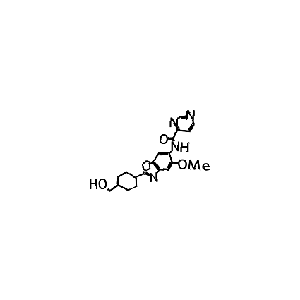 COc1cc2nc(C3CCC(CO)CC3)oc2cc1NC(=O)c1ccncn1